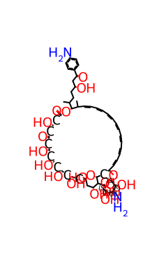 CC1C=CC=CC=CC=CC=CC=CC=CC(O[C@H]2O[C@@H](C)[C@H](O)[C@@H](N)[C@H]2O)CC2OC(O)(CC(O)CC(O)CC(O)CC(O)CC(=O)CC(O)CC(=O)OC1C(C)CCC(O)CC(=O)c1ccc(N)cc1)CC(O)C2C(=O)O